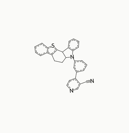 N#Cc1cnccc1-c1cccc(N2c3ccccc3C3c4sc5ccccc5c4CCC32)c1